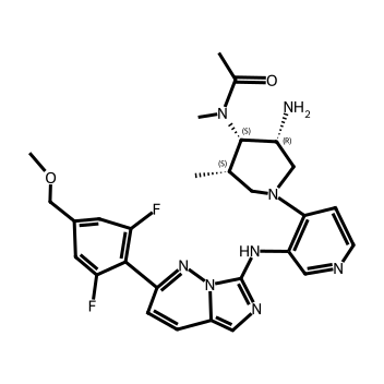 COCc1cc(F)c(-c2ccc3cnc(Nc4cnccc4N4C[C@@H](N)[C@@H](N(C)C(C)=O)[C@@H](C)C4)n3n2)c(F)c1